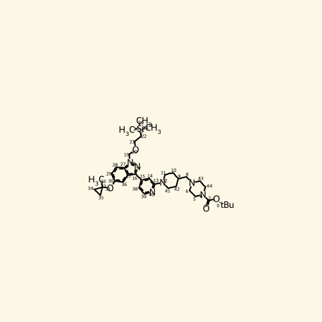 CC(C)(C)OC(=O)N1CCN(CC2CCN(c3cc(-c4nn(COCC[Si](C)(C)C)c5ccc(OC6(C)CC6)cc45)ccn3)CC2)CC1